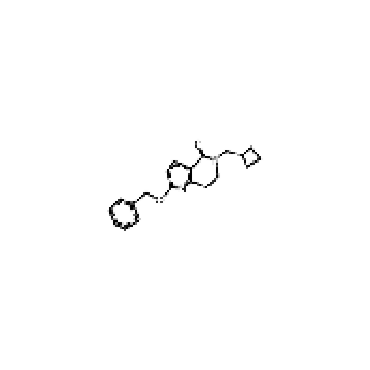 O=C1c2ccc(OCc3ccccc3)nc2CCN1CC1CCC1